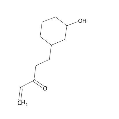 C=CC(=O)CCC1CCCC(O)C1